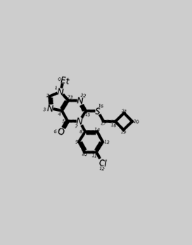 CCn1cnc2c(=O)n(-c3ccc(Cl)cc3)c(SCC3CCC3)nc21